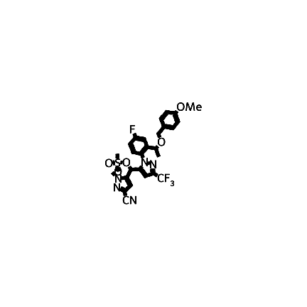 COc1ccc(COC(C)c2cc(F)ccc2-n2nc(C(F)(F)F)cc2C(OS(C)(=O)=O)c2cc(C#N)nn2C)cc1